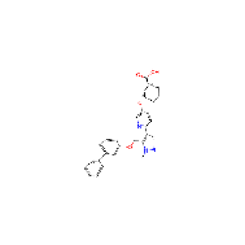 Cn1ncc(-c2ccc(O[C@H]3CCC[C@H](C(=O)O)C3)cn2)c1COc1cccc(-c2ccccc2)c1